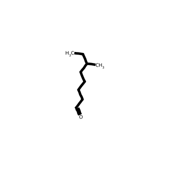 CCC(C)CCCC[C]=O